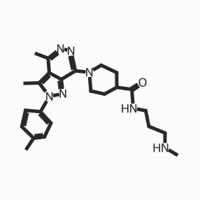 CNCCCNC(=O)C1CCN(c2nnc(C)c3c(C)n(-c4ccc(C)cc4)nc23)CC1